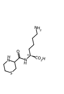 NCCCC[C@H](NC(=O)C1CSCCN1)C(=O)O